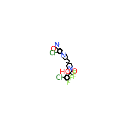 CN(C)C(=O)c1ccc(N2CCC(CC3(C)CCN(C(=O)[C@](O)(c4cc(F)cc(Cl)c4)C(F)(F)F)CC3)CC2)cc1Cl